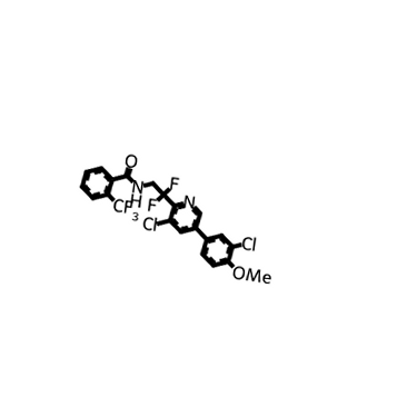 COc1ccc(-c2cnc(C(F)(F)CNC(=O)c3ccccc3C(F)(F)F)c(Cl)c2)cc1Cl